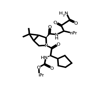 CCCC(NC(=O)[C@@H]1C2C(CN1C(=O)[C@@H](NC(=O)OC(C)C)C1CCCC1)C2(C)C)C(=O)C(N)=O